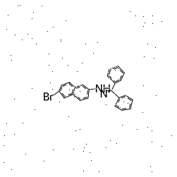 Brc1ccc2cc(NN=C(c3ccccc3)c3ccccc3)ccc2c1